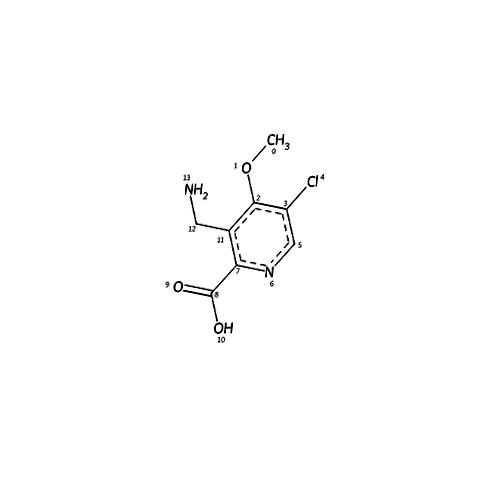 COc1c(Cl)cnc(C(=O)O)c1CN